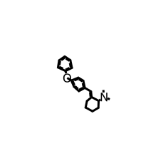 CN(C)C1CCCCC1=Cc1ccc(Oc2ccccc2)cc1